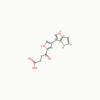 O=C(O)CCC(=O)c1cc(-c2coc3ccsc23)co1